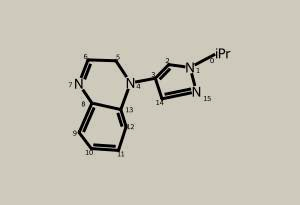 CC(C)n1cc(N2CC=Nc3ccccc32)cn1